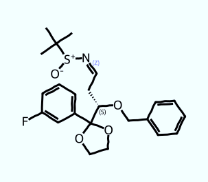 CC(C)(C)[S+]([O-])/N=C\C[C@H](OCc1ccccc1)C1(c2cccc(F)c2)OCCO1